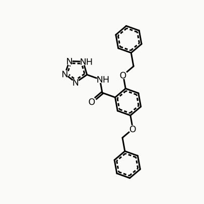 O=C(Nc1nnn[nH]1)c1cc(OCc2ccccc2)ccc1OCc1ccccc1